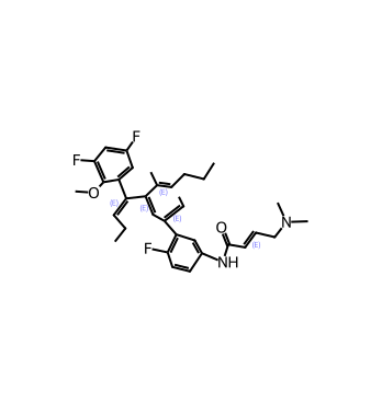 C\C=C(/C=C(C(\C)=C\CCC)/C(=C\CC)c1cc(F)cc(F)c1OC)c1cc(NC(=O)/C=C/CN(C)C)ccc1F